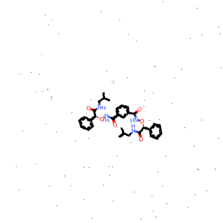 CC(C)CNC(=O)[C@H](ONC(=O)c1cccc(C(=O)NO[C@@H](C(=O)NCC(C)C)c2ccccc2)c1)c1ccccc1